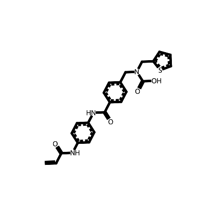 C=CC(=O)Nc1ccc(NC(=O)c2ccc(CN(Cc3cccs3)C(=O)O)cc2)cc1